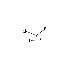 F[C]Cl.[C]F